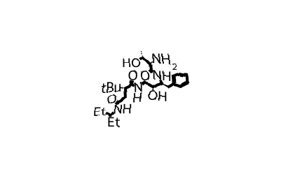 CCC(CC)NC(=O)C[C@@H](C(=O)NC[C@@H](O)[C@H](Cc1ccccc1)NC(=O)[C@@H](N)[C@@H](C)O)C(C)(C)C